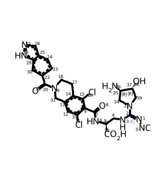 [C-]#[N+]/N=C(\NC[C@H](NC(=O)c1c(Cl)cc2c(c1Cl)CCN(C(=O)c1ccc3cn[nH]c3c1)C2)C(=O)O)N1C[C@@H](N)[C@H](O)C1